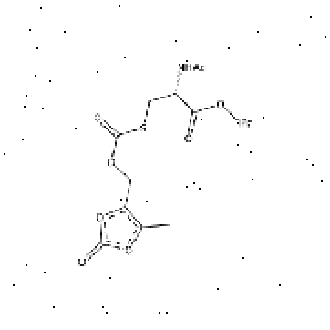 CC(=O)N[C@@H](CSC(=O)OCc1oc(=O)oc1C)C(=O)OC(C)C